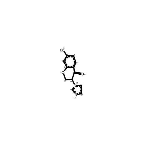 O=C1c2ccc(Br)cc2OCC1n1ccnc1